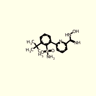 CC(C)(C)c1cccc(-c2cccc(C(=N)NO)n2)c1S(N)(=O)=O